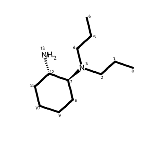 CCCN(CCC)[C@H]1CCCC[C@@H]1N